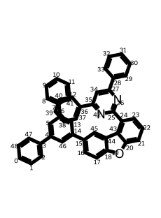 c1ccc(-c2cc(-c3ccccc3)cc(-c3ccc4oc5cccc(-c6nc(-c7ccccc7)cc(-c7ccccc7)n6)c5c4c3)c2)cc1